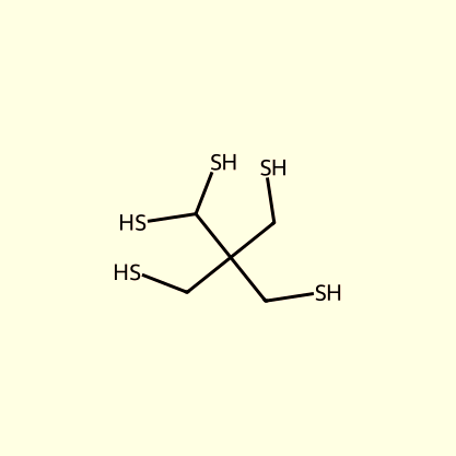 SCC(CS)(CS)C(S)S